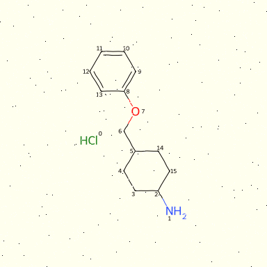 Cl.NC1CCC(COc2ccccc2)CC1